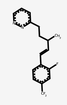 CC(/C=C/c1ccc(C(F)(F)F)cc1F)C[CH]c1cccnn1